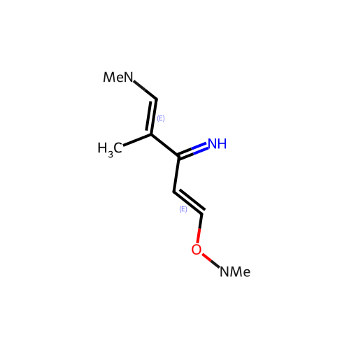 CN/C=C(\C)C(=N)/C=C/ONC